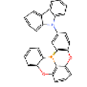 S=P12c3ccccc3Oc3cccc(c31)Oc1ccc(-n3c4ccccc4c4ccccc43)cc12